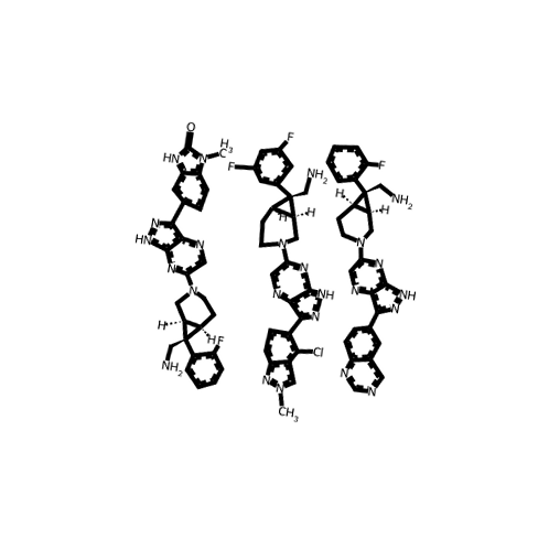 Cn1c(=O)[nH]c2cc(-c3n[nH]c4nc(N5CC[C@@H]6[C@H](C5)[C@@]6(CN)c5ccccc5F)cnc34)ccc21.Cn1cc2c(Cl)c(-c3n[nH]c4nc(N5CC[C@@H]6[C@H](C5)[C@@]6(CN)c5cc(F)cc(F)c5)cnc34)ccc2n1.NC[C@]1(c2ccccc2F)[C@@H]2CCN(c3cnc4c(-c5ccc6ncncc6c5)n[nH]c4n3)C[C@@H]21